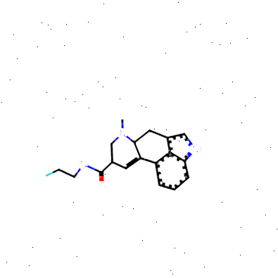 CN1CC(C(=O)NCCF)C=C2c3cccc4[nH]cc(c34)CC21